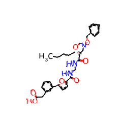 CCCCC[C@H](CN(C=O)OCc1ccccc1)C(=O)NCNC(=O)c1ccc(-c2cccc(CC(=O)O)c2)o1